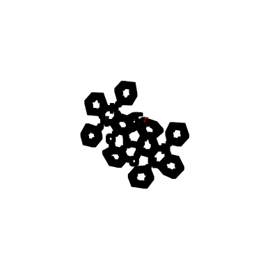 c1ccc(N2c3ccccc3N(c3ccccc3)c3c2c2c(c4ccccc34)B3c4c(cccc4Oc4c5c(c6ccccc6c43)N(c3ccccc3)c3ccccc3N5c3ccccc3)O2)cc1